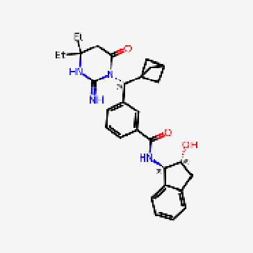 CCC1(CC)CC(=O)N([C@@H](c2cccc(C(=O)N[C@@H]3c4ccccc4C[C@H]3O)c2)C23CC(C2)C3)C(=N)N1